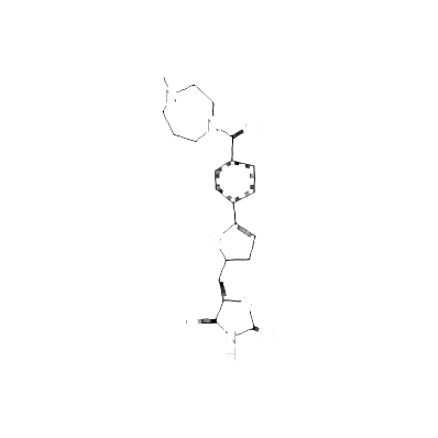 CN1CCCN(C(=O)c2ccc(C3=CCC(/C=C4\SC(=O)NC4=O)O3)cc2)CC1